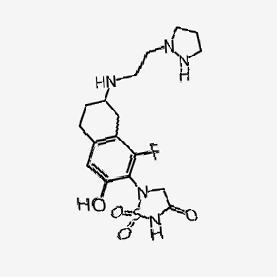 O=C1CN(c2c(O)cc3c(c2F)CC(NCCN2CCCN2)CC3)S(=O)(=O)N1